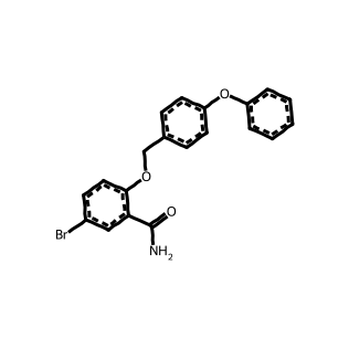 NC(=O)c1cc(Br)ccc1OCc1ccc(Oc2ccccc2)cc1